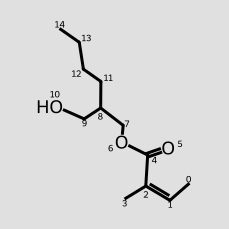 CC=C(C)C(=O)OCC(CO)CCCC